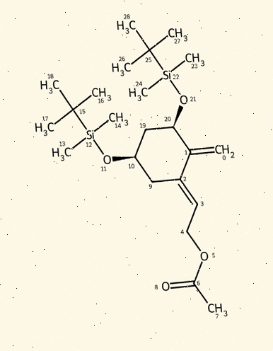 C=C1C(=CCOC(C)=O)C[C@@H](O[Si](C)(C)C(C)(C)C)C[C@H]1O[Si](C)(C)C(C)(C)C